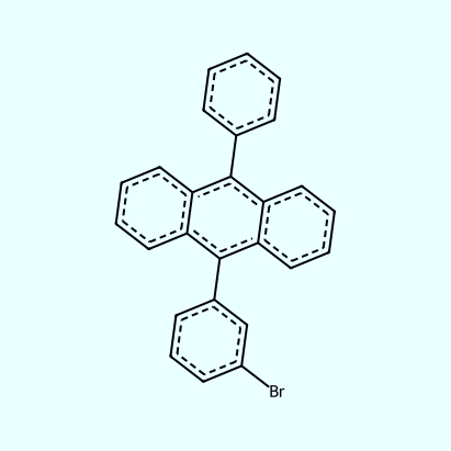 Brc1cccc(-c2c3ccccc3c(-c3ccccc3)c3ccccc23)c1